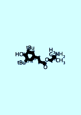 CC(C)(N)COC(=O)CCc1cc(C(C)(C)C)c(O)c(C(C)(C)C)c1